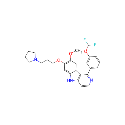 COc1cc2c(cc1OCCCN1CCCC1)[nH]c1ccnc(-c3cccc(OC(F)F)c3)c12